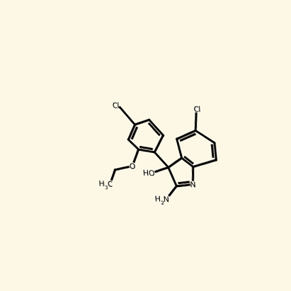 CCOc1cc(Cl)ccc1C1(O)C(N)=Nc2ccc(Cl)cc21